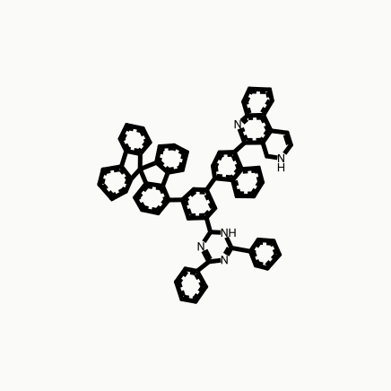 C1=Cc2c(c(-c3ccc(-c4cc(-c5cccc6c5-c5ccccc5C65c6ccccc6-c6ccccc65)cc(C5N=C(c6ccccc6)N=C(c6ccccc6)N5)c4)c4ccccc34)nc3ccccc23)CN1